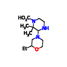 CCC1CN(C2NCCN(C(=O)O)C2(C)C)CCO1